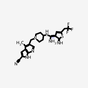 Cc1c(CN2CCC(N/C(N)=C3\C=C(CC(F)(F)F)SC3=N)CC2)cnc2[nH]c(C#N)cc12